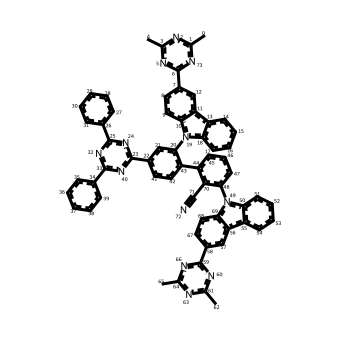 Cc1nc(C)nc(-c2ccc3c(c2)c2ccccc2n3-c2cc(-c3nc(-c4ccccc4)nc(-c4ccccc4)n3)ccc2-c2cccc(-n3c4ccccc4c4cc(-c5nc(C)nc(C)n5)ccc43)c2C#N)n1